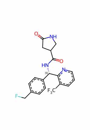 O=C1CC(C(=O)N[C@@H](c2ccc(CF)cc2)c2ncccc2C(F)(F)F)CN1